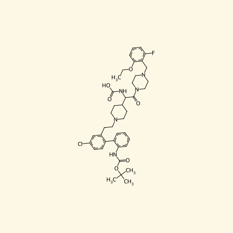 CCOc1cccc(F)c1CN1CCN(C(=O)C(NC(=O)O)C2CCN(CCc3cc(Cl)ccc3-c3ccccc3NC(=O)OC(C)(C)C)CC2)CC1